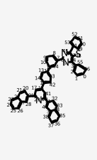 c1ccc(-c2nc(-c3cccc(-c4ccc(-c5cc(-c6ccc7ccccc7c6)nc(-c6ccc7ccccc7c6)c5)cc4)c3)nc3c2sc2ccccc23)cc1